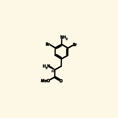 COC(=O)[C@@H](N)Cc1cc(Br)c(N)c(Br)c1